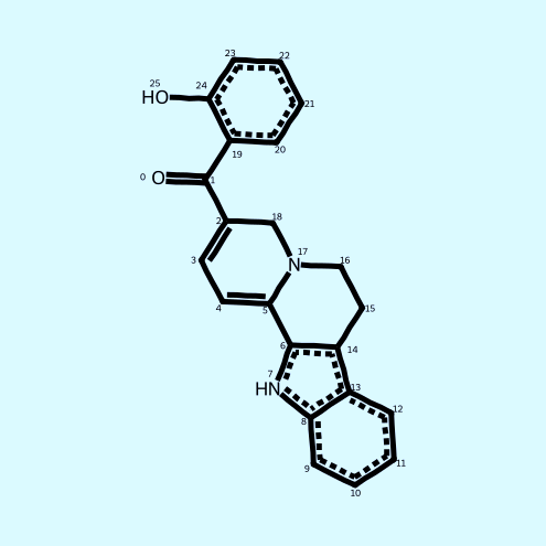 O=C(C1=CC=C2c3[nH]c4ccccc4c3CCN2C1)c1ccccc1O